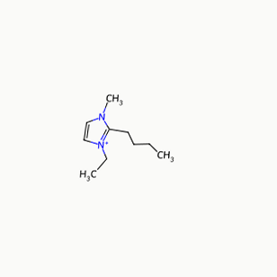 CCCCc1n(C)cc[n+]1CC